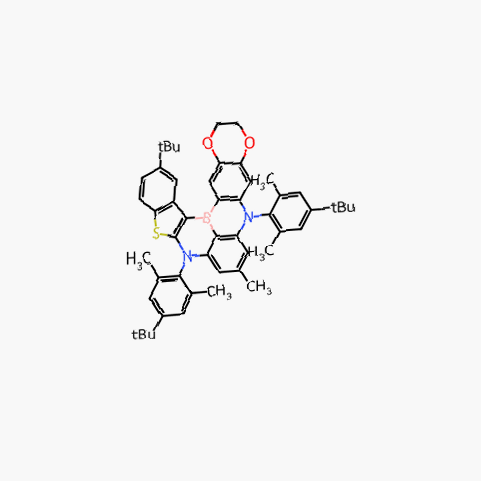 Cc1cc2c3c(c1)N(c1c(C)cc(C(C)(C)C)cc1C)c1sc4ccc(C(C)(C)C)cc4c1B3c1cc3c(cc1N2c1c(C)cc(C(C)(C)C)cc1C)OCCO3